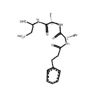 CC(C)[C@H](NC(=O)CCc1ccccc1)C(=O)N[C@@H](C)C(=O)NC(C=O)CC(=O)O